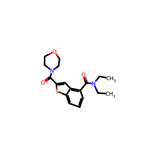 CCN(CC)C(=O)c1cccc2sc(C(=O)N3CCOCC3)cc12